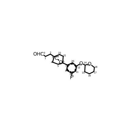 O=CCCC12CCC(c3cc(F)cc(OC4CCCCO4)c3)(CC1)OC2